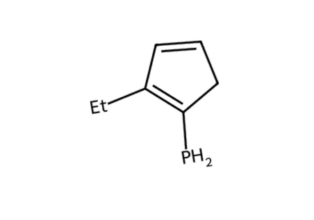 CCC1=C(P)CC=C1